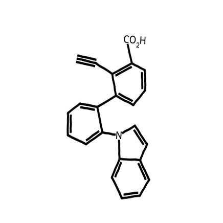 C#Cc1c(C(=O)O)cccc1-c1ccccc1-n1ccc2ccccc21